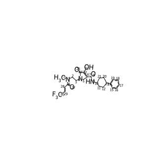 CN(CCN1CC(C(=O)NC2CCC(c3ccccc3)CC2)=C(O)C1=O)C(=O)/C=C/C(F)(F)F